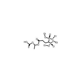 CCOP(=O)(OCC)C(CCC(=O)OC(C)OC(O)=S)P(=O)(OCC)OCC